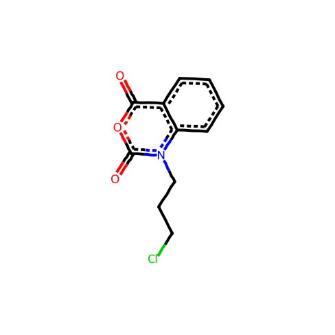 O=c1oc(=O)n(CCCCl)c2ccccc12